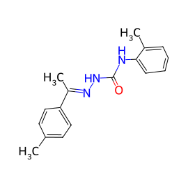 C/C(=N\NC(=O)Nc1ccccc1C)c1ccc(C)cc1